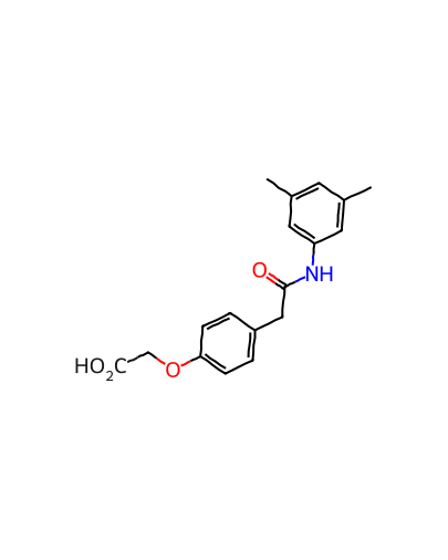 Cc1cc(C)cc(NC(=O)Cc2ccc(OCC(=O)O)cc2)c1